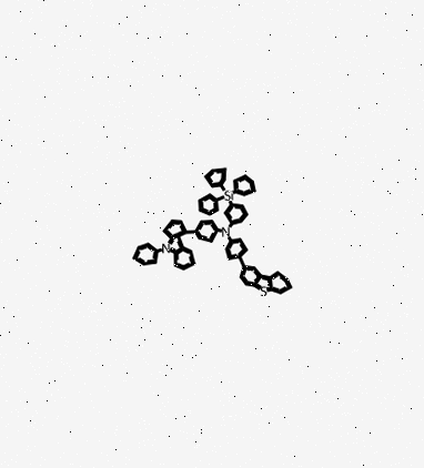 c1ccc(-n2c3ccccc3c3c(-c4ccc(N(c5ccc(-c6ccc7sc8ccccc8c7c6)cc5)c5cccc([Si](c6ccccc6)(c6ccccc6)c6ccccc6)c5)cc4)cccc32)cc1